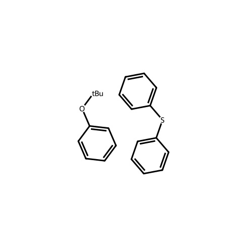 CC(C)(C)Oc1ccccc1.c1ccc(Sc2ccccc2)cc1